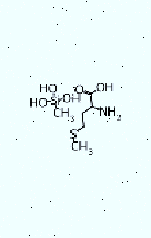 CSCC[C@H](N)C(=O)O.C[Si](O)(O)O